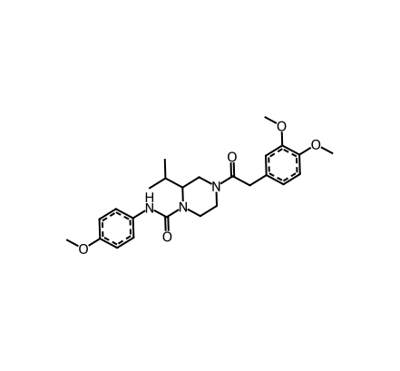 COc1ccc(NC(=O)N2CCN(C(=O)Cc3ccc(OC)c(OC)c3)CC2C(C)C)cc1